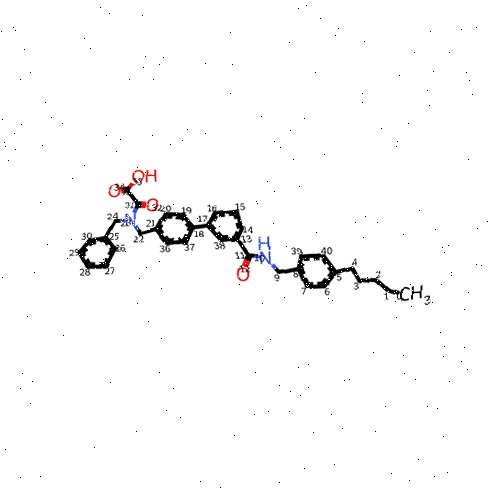 CCCCCc1ccc(CNC(=O)c2cccc(-c3ccc(CN(Cc4ccccc4)C(=O)C(=O)O)cc3)c2)cc1